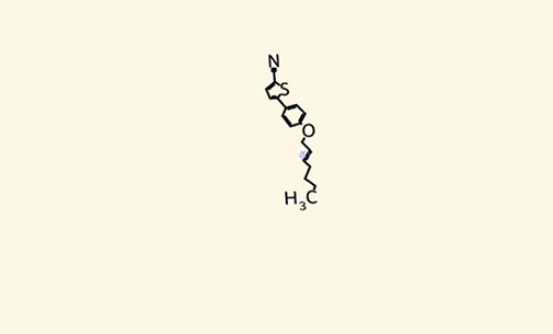 CCCC/C=C/COc1ccc(-c2ccc(C#N)s2)cc1